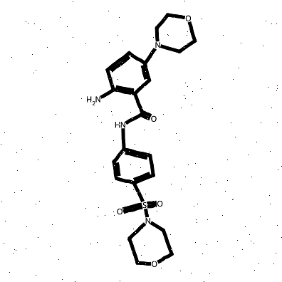 Nc1ccc(N2CCOCC2)cc1C(=O)Nc1ccc(S(=O)(=O)N2CCOCC2)cc1